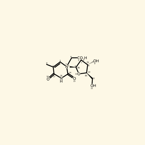 CC1=C[N+](CC(=O)O)([C@H]2C[C@H](O)[C@@H](CO)O2)C(=O)NC1=O